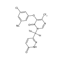 [2H]C([2H])(c1ccc(=O)[nH]n1)n1cnc(C(F)(F)F)c(Oc2cc(Cl)cc(C#N)c2)c1=O